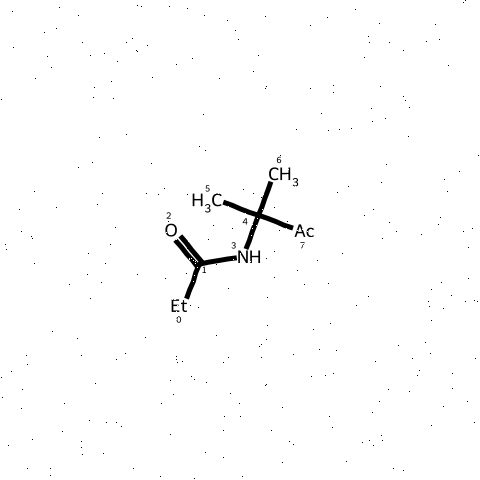 CCC(=O)NC(C)(C)C(C)=O